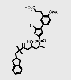 COc1ccc(-c2cc(S(=O)(=O)N(C)CC(O)CNC(C)(C)CC3Cc4ccccc4C3)sc2Cl)cc1CCC(=O)O